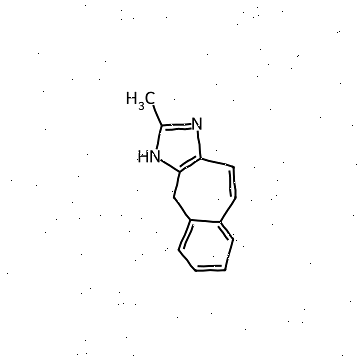 Cc1nc2c([nH]1)Cc1ccccc1C=C2